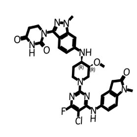 CO[C@@H]1CN(c2nc(F)c(Cl)c(Nc3ccc4c(c3)CC(=O)N4C)n2)CC[C@H]1Nc1ccc2c(N3CCC(=O)NC3=O)nn(C)c2c1